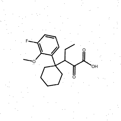 CCC(C(=O)C(=O)O)C1(c2cccc(F)c2OC)CCCCC1